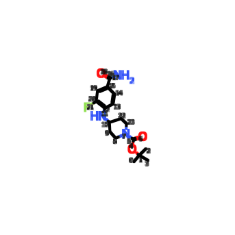 CC(C)(C)OC(=O)N1CCC(Nc2ccc(C(N)=O)cc2F)CC1